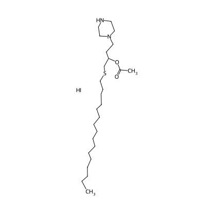 CCCCCCCCCCCCCCCCSCC(CCN1CCNCC1)OC(C)=O.I